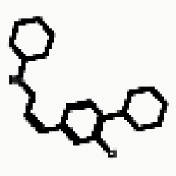 Clc1cc(/C=C\CNC2CCCCC2)ccc1C1CCCCC1